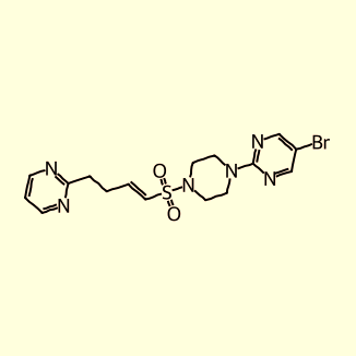 O=S(=O)(C=CCCc1ncccn1)N1CCN(c2ncc(Br)cn2)CC1